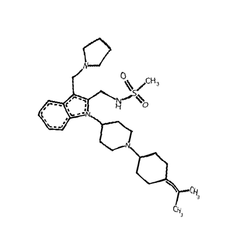 CC(C)=C1CCC(N2CCC(n3c(CNS(C)(=O)=O)c(CN4CCCC4)c4ccccc43)CC2)CC1